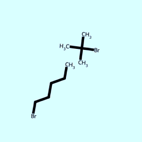 CC(C)(C)Br.CCCCCBr